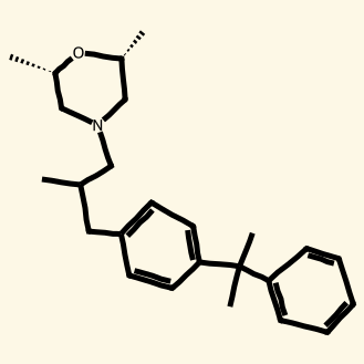 CC(Cc1ccc(C(C)(C)c2ccccc2)cc1)CN1C[C@@H](C)O[C@@H](C)C1